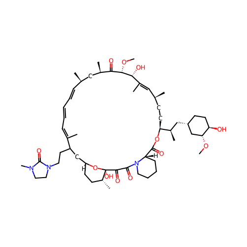 CO[C@@H]1C[C@H](C[C@@H](C)[C@@H]2CC[C@H](C)/C=C(\C)[C@@H](O)[C@@H](OC)C(=O)[C@H](C)C[C@H](C)/C=C/C=C/C=C(\C)C(CCN3CCN(C)C3=O)C[C@@H]3CC[C@@H](C)[C@@](O)(O3)C(=O)C(=O)N3CCCC[C@H]3C(=O)O2)CC[C@H]1O